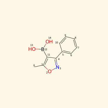 Cc1onc(-c2ccccc2)c1B(O)O